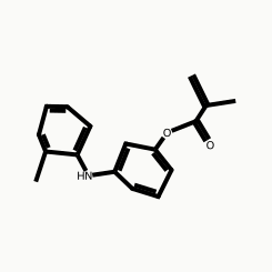 C=C(C)C(=O)Oc1cccc(Nc2ccccc2C)c1